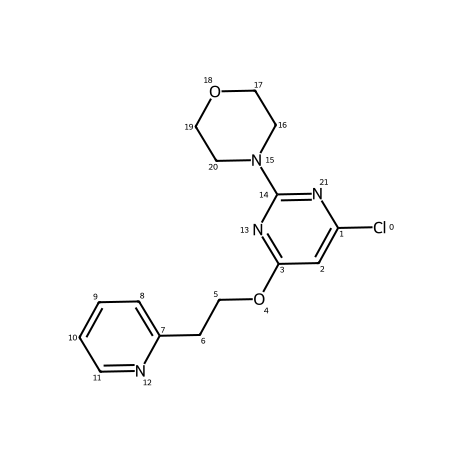 Clc1cc(OCCc2ccccn2)nc(N2CCOCC2)n1